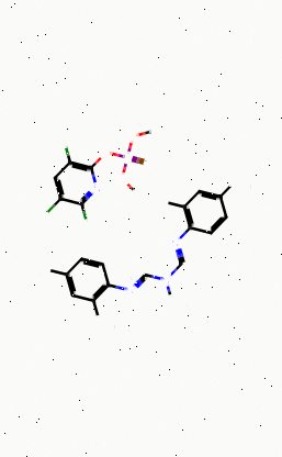 CCOP(=S)(OCC)Oc1nc(Cl)c(Cl)cc1Cl.Cc1ccc(/N=C/N(C)/C=N/c2ccc(C)cc2C)c(C)c1